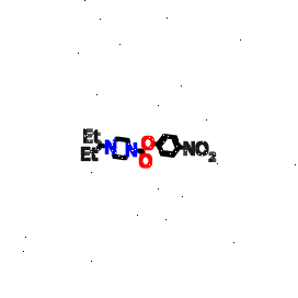 CCC(CC)N1CCN(C(=O)Oc2ccc([N+](=O)[O-])cc2)CC1